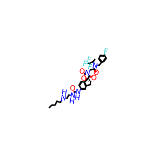 CCCCCNCCNC(=O)Nc1ccc2c(c1)CC[C@@]21OC(=O)N(CC(=O)N(Cc2ccc(F)cc2)C(C)C(F)(F)F)C1=O